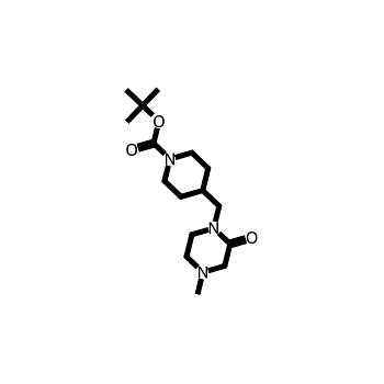 CN1CCN(CC2CCN(C(=O)OC(C)(C)C)CC2)C(=O)C1